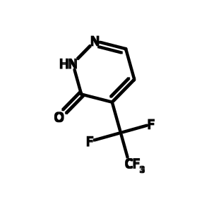 O=c1[nH]nccc1C(F)(F)C(F)(F)F